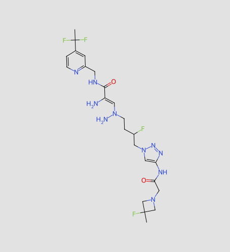 CC1(F)CN(CC(=O)Nc2cn(CC(F)CCN(N)/C=C(\N)C(=O)NCc3cc(C(C)(F)F)ccn3)nn2)C1